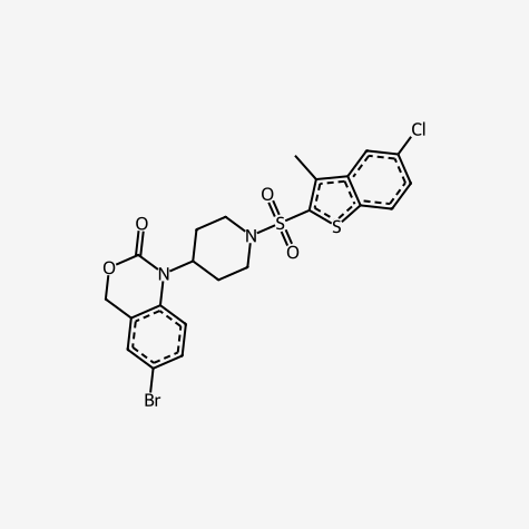 Cc1c(S(=O)(=O)N2CCC(N3C(=O)OCc4cc(Br)ccc43)CC2)sc2ccc(Cl)cc12